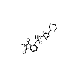 CN1C(=O)c2cccc(CC(=O)Nc3nc(C4CCCCC4)cs3)c2C1=O